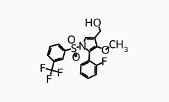 COc1c(CO)cn(S(=O)(=O)c2cccc(C(F)(F)F)c2)c1-c1ccccc1F